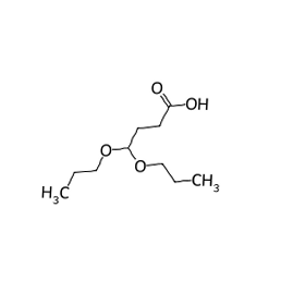 CCCOC(CCC(=O)O)OCCC